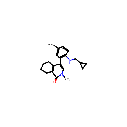 CSc1ccc(NCC2CC2)c(-c2cn(C)c(=O)c3c2CCCC3)c1